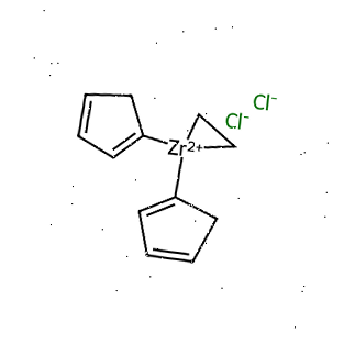 C1=CC[C]([Zr+2]2([C]3=CC=CC3)[CH2][CH2]2)=C1.[Cl-].[Cl-]